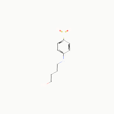 O=[SH](=O)c1ccc(NCCCCO)cc1